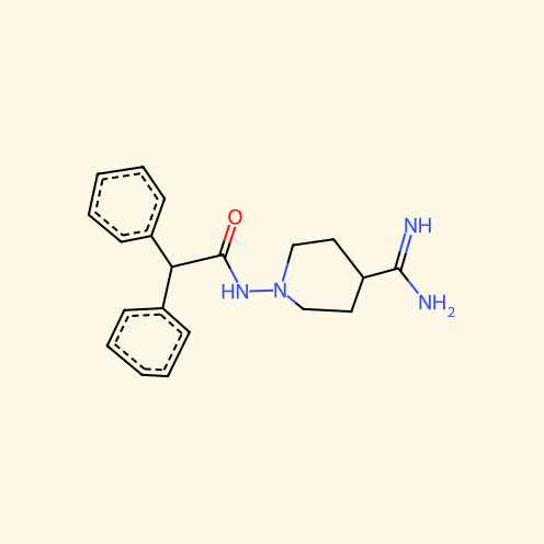 N=C(N)C1CCN(NC(=O)C(c2ccccc2)c2ccccc2)CC1